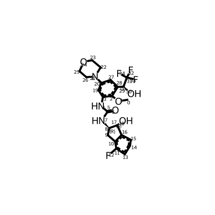 COc1c(NC(=O)N[C@@H]2Cc3c(F)cccc3[C@@H]2O)cc(N2CCOCC2)cc1[C@H](O)C(F)(F)F